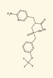 Nc1ccc(CC(CP(=O)(O)Cc2cccc(OC(F)(F)F)c2)C(=O)O)cn1